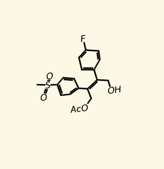 CC(=O)OC/C(=C(\CO)c1ccc(F)cc1)c1ccc(S(C)(=O)=O)cc1